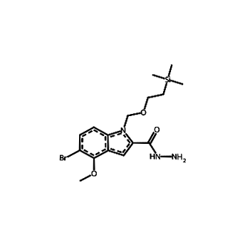 COc1c(Br)ccc2c1cc(C(=O)NN)n2COCC[Si](C)(C)C